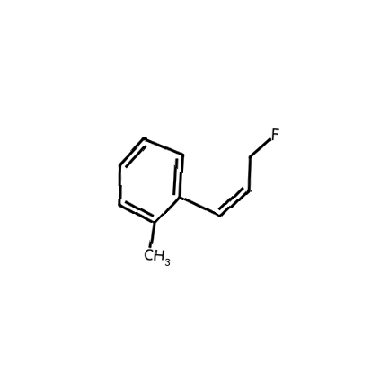 Cc1ccccc1/C=C\CF